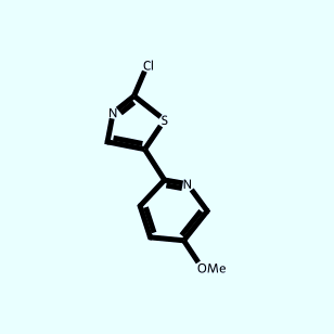 COc1ccc(-c2cnc(Cl)s2)nc1